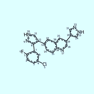 Fc1ccc(Cl)cc1-c1n[nH]cc1-c1ccc2ncc(-c3cn[nH]c3)cc2c1